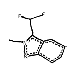 Cn1nc2cc[c]cc2c1C(F)F